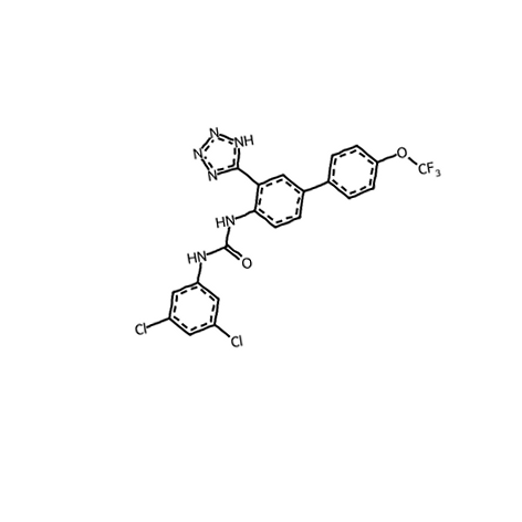 O=C(Nc1cc(Cl)cc(Cl)c1)Nc1ccc(-c2ccc(OC(F)(F)F)cc2)cc1-c1nnn[nH]1